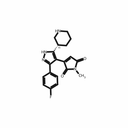 CN1C(=O)C=C(c2c(-c3ccc(F)cc3)n[nH]c2[C@H]2CCCNC2)C1=O